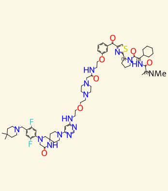 CN[C@@H](C)C(=O)N[C@H](C(=O)N1CCC[C@H]1c1nc(C(=O)c2cccc(OCCNC(=O)CN3CCN(CCOCCNc4cc(N5CCC6(CC5)CN(c5cc(F)c(CN7CCC(C)(C)CC7)cc5F)CC(=O)N6)ncn4)CC3)c2)cs1)C1CCCCC1